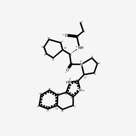 C[CH]C(=O)N[C@H](C(=O)N1CCCC1c1nc2c([nH]1)-c1ccccc1CC2)C1CCCCC1